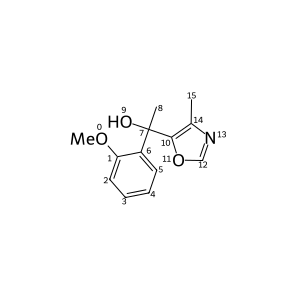 COc1ccccc1C(C)(O)c1ocnc1C